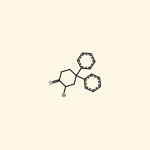 O=C1CCC(c2ccccc2)(c2ccccc2)CC1Br